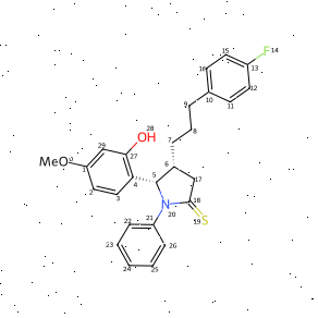 COc1ccc([C@@H]2[C@H](CCCc3ccc(F)cc3)CC(=S)N2c2ccccc2)c(O)c1